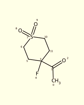 CC(=O)C1(F)CCS(=O)(=O)CC1